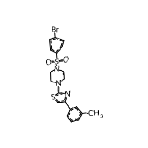 Cc1cccc(-c2csc(N3CCN(S(=O)(=O)c4ccc(Br)cc4)CC3)n2)c1